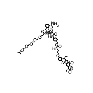 C=C(C)COCCOCCOCCOCCOCCC(=O)N[C@@H](Cc1ccccc1)C(=O)N[C@@H](CCCCN)C(=O)Nc1ccc(COC(=O)NCCCOc2ccc3nc4c(c(CC)c3c2)Cn2c-4cc3c(c2=O)COC(=O)[C@@H]3CC)cc1